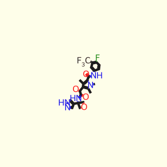 Cc1c(C(=O)C(=O)NC2(c3cn[nH]c3)COC2)c(C)n(C)c1C(=O)Nc1ccc(F)c(C(F)(F)F)c1